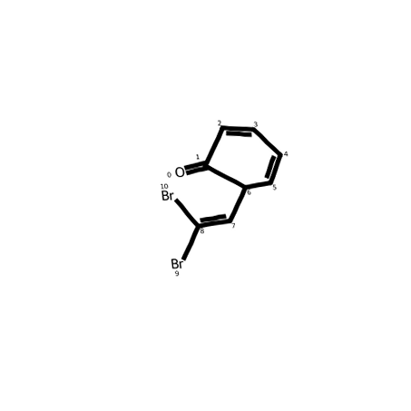 O=C1C=CC=CC1C=C(Br)Br